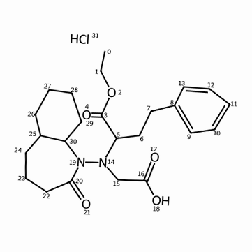 CCOC(=O)C(CCc1ccccc1)N(CC(=O)O)N1C(=O)CCCC2CCCCC21.Cl